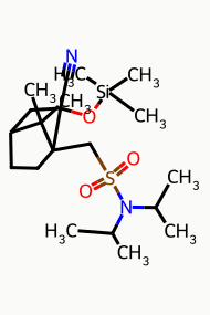 CC(C)N(C(C)C)S(=O)(=O)CC12CCC(CC1(C#N)O[Si](C)(C)C)C2(C)C